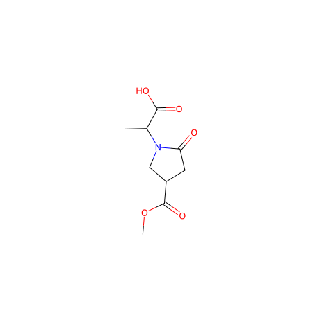 COC(=O)C1CC(=O)N(C(C)C(=O)O)C1